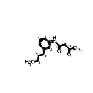 CCCCc1cccc(NC(=O)CC(C)=O)c1